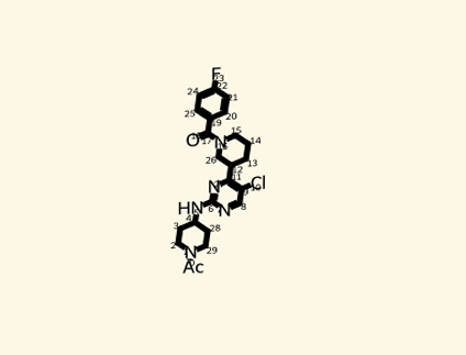 CC(=O)N1CCC(Nc2ncc(Cl)c(C3CCCN(C(=O)c4ccc(F)cc4)C3)n2)CC1